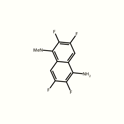 CNc1c(F)c(F)cc2c(N)c(F)c(F)cc12